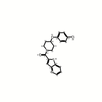 O=C(c1cc2ncccc2s1)N1CCC(Oc2ccc(Cl)cc2)CC1